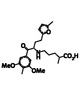 COc1cc(C(=O)C(CCc2ccc(C)o2)NCCCC(C)C(=O)O)cc(OC)c1C